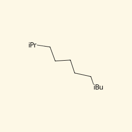 [CH2]C(C)CCCCCC(C)CC